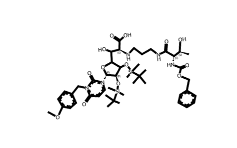 COc1ccc(Cn2c(=O)ccn([C@@H]3OC(C(O)[C@H](NCCCNC(=O)[C@@H](NC(=O)OCc4ccccc4)[C@H](C)O)C(=O)O)C(O[Si](C)(C)C(C)(C)C)[C@H]3O[Si](C)(C)C(C)(C)C)c2=O)cc1